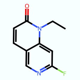 CCn1c(=O)ccc2cnc(F)cc21